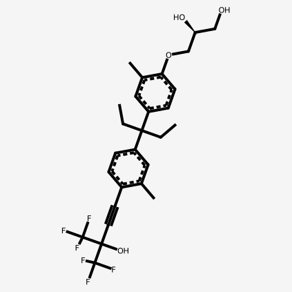 CCC(CC)(c1ccc(C#CC(O)(C(F)(F)F)C(F)(F)F)c(C)c1)c1ccc(OC[C@@H](O)CO)c(C)c1